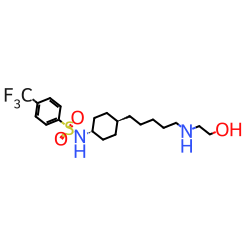 O=S(=O)(N[C@H]1CC[C@H](CCCCCNCCO)CC1)c1ccc(C(F)(F)F)cc1